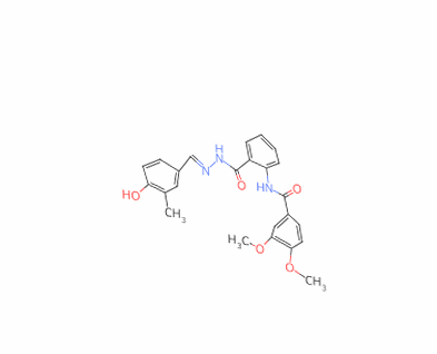 COc1ccc(C(=O)Nc2ccccc2C(=O)NN=Cc2ccc(O)c(C)c2)cc1OC